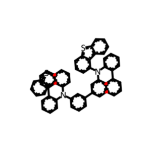 c1ccc(-c2ccccc2N(c2cccc(-c3cccc(N(c4ccccc4-c4ccccc4)c4cccc5sc6ccccc6c45)c3)c2)c2cccc3sc4ccccc4c23)cc1